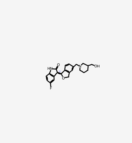 O=C1Nc2ccc(F)cc2/C1=C1\OCc2cc(CN3CCCC(CO)C3)ccc21